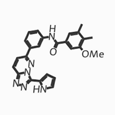 COc1cc(C(=O)Nc2cccc(-c3ccc4nnc(-c5ccc[nH]5)n4n3)c2)cc(C)c1C